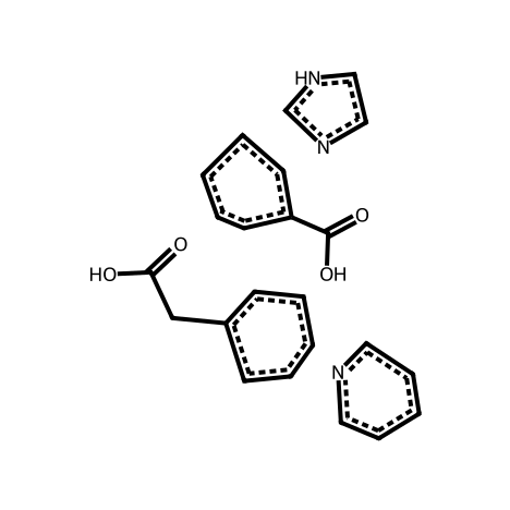 O=C(O)Cc1ccccc1.O=C(O)c1ccccc1.c1c[nH]cn1.c1ccncc1